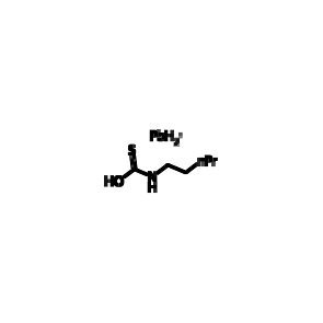 CCCCCNC(O)=S.[PbH2]